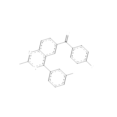 Cc1nc(-c2cccc(Cl)c2)c2cc(C(=O)c3ccc(Cl)cc3)ccc2n1